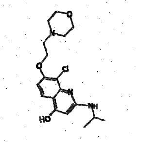 CC(C)Nc1cc(O)c2ccc(OCCN3CCOCC3)c(Cl)c2n1